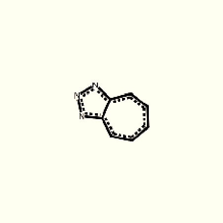 c1ccc2nnnc-2cc1